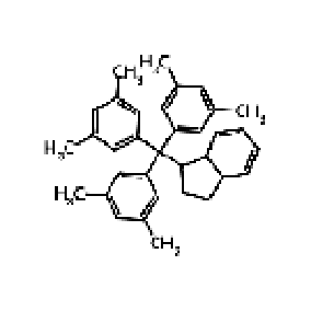 Cc1cc(C)cc(C(c2cc(C)cc(C)c2)(c2cc(C)cc(C)c2)C2CCC3C=CC=CC32)c1